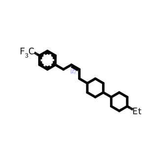 CCC1CCC(C2CCC(C/C=C\Cc3ccc(C(F)(F)F)cc3)CC2)CC1